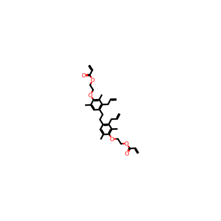 C=CCc1c(CCc2cc(C)c(OCCOC(=O)C=C)c(C)c2CC=C)cc(C)c(OCCOC(=O)C=C)c1C